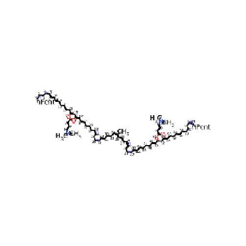 CCCCC/C=C\C/C=C\CCCCCCCCC(CCCCCCCC/C=C\C/C=C\CCCCCC(C)CCC/C=C\C/C=C\CCCCCCCCC(CCCCCCCC/C=C\C/C=C\CCCCC)OC(=O)CCCN(C)C)OC(=O)CCCN(C)C